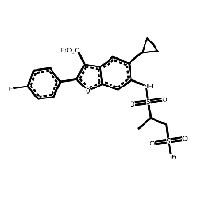 CCOC(=O)c1c(-c2ccc(F)cc2)oc2cc(NS(=O)(=O)C(C)CS(=O)(=O)C(C)C)c(C3CC3)cc12